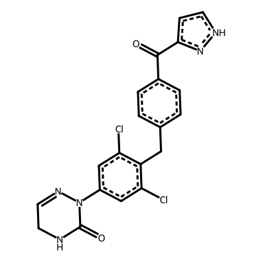 O=C(c1ccc(Cc2c(Cl)cc(N3N=CCNC3=O)cc2Cl)cc1)c1cc[nH]n1